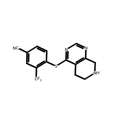 N#Cc1ccc(Sc2ncnc3c2CCNC3)c(C(F)(F)F)c1